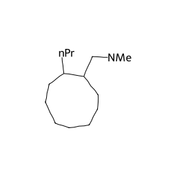 CCCC1CCCCCCCC1CNC